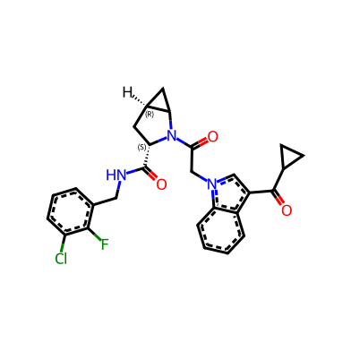 O=C(c1cn(CC(=O)N2C3C[C@@H]3C[C@H]2C(=O)NCc2cccc(Cl)c2F)c2ccccc12)C1CC1